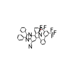 N#Cc1cc2c(-c3ccccc3-c3cc(C(F)(F)F)cc(C(F)(F)F)c3)nc3ccccc3c2c2nc(-c3ccccc3)c(-c3ccccc3)nc12